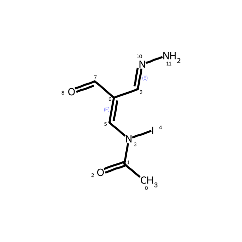 CC(=O)N(I)/C=C(C=O)\C=N\N